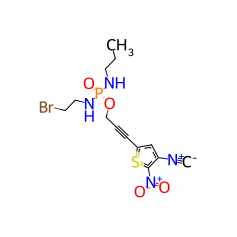 [C-]#[N+]c1cc(C#CCOP(=O)(NCCC)NCCBr)sc1[N+](=O)[O-]